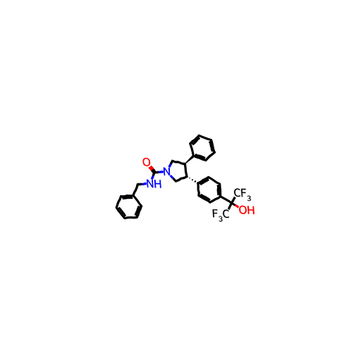 O=C(NCc1ccccc1)N1C[C@@H](c2ccccc2)[C@H](c2ccc(C(O)(C(F)(F)F)C(F)(F)F)cc2)C1